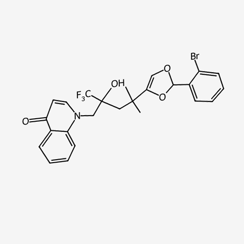 CC(C)(CC(O)(Cn1ccc(=O)c2ccccc21)C(F)(F)F)C1=COC(c2ccccc2Br)O1